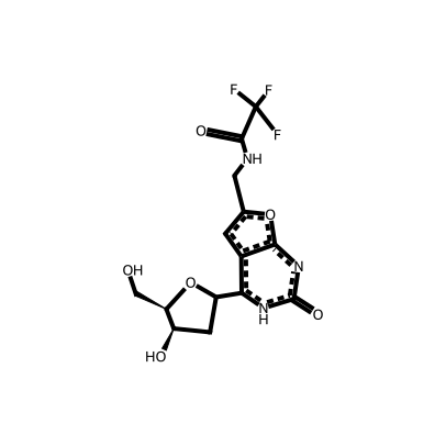 O=C(NCc1cc2c(C3C[C@@H](O)[C@@H](CO)O3)[nH]c(=O)nc2o1)C(F)(F)F